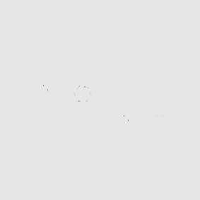 CN(CCCOc1ccc2c(c1)CCC(CN1CCCC1)C2)CC1CCOCC1